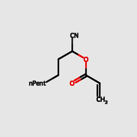 C=CC(=O)OC(C#N)CCCCCCC